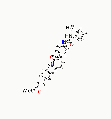 COC(=O)CCc1ccc(Cn2cccc(-c3ccc(NC(=O)Nc4ccccc4C)cc3)c2=O)cc1